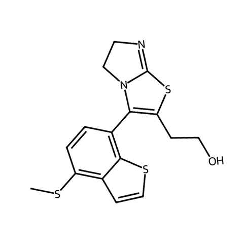 CSc1ccc(C2=C(CCO)SC3=NCCN32)c2sccc12